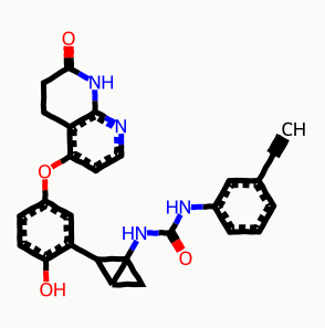 C#Cc1cccc(NC(=O)NC23CC2C3c2cc(Oc3ccnc4c3CCC(=O)N4)ccc2O)c1